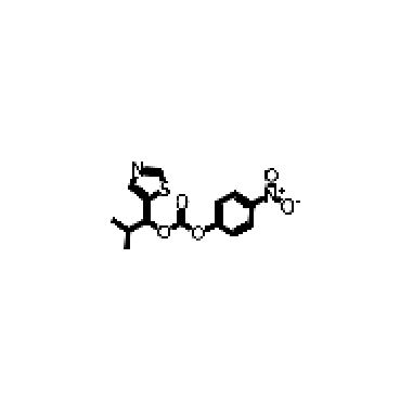 CC(C)C(OC(=O)Oc1ccc([N+](=O)[O-])cc1)c1cncs1